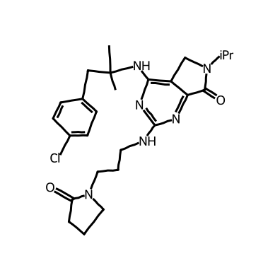 CC(C)N1Cc2c(NC(C)(C)Cc3ccc(Cl)cc3)nc(NCCCN3CCCC3=O)nc2C1=O